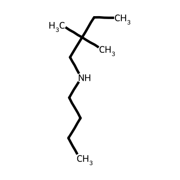 CCCCNCC(C)(C)CC